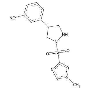 Cn1cc(S(=O)(=O)N2CC(c3cccc(C#N)c3)CN2)nn1